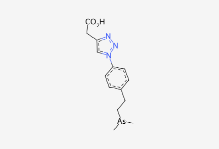 C[As](C)CCc1ccc(-n2cc(CC(=O)O)nn2)cc1